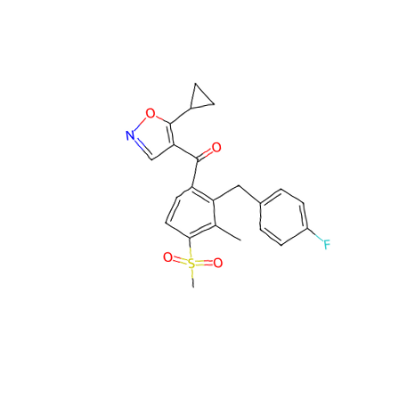 Cc1c(S(C)(=O)=O)ccc(C(=O)c2cnoc2C2CC2)c1Cc1ccc(F)cc1